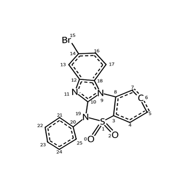 O=S1(=O)c2ccccc2-n2c(nc3cc(Br)ccc32)N1c1ccccc1